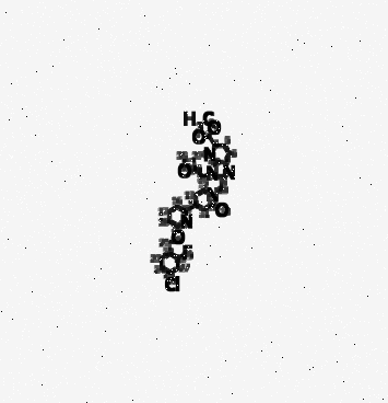 COC(=O)c1ccc2nc(Cn3ccc(-c4cccc(OCc5ccc(Cl)cc5F)n4)cc3=O)n(C[C@@H]3CCO3)c2n1